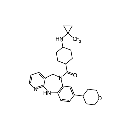 O=C(C1CCC(NC2(C(F)(F)F)CC2)CC1)N1Cc2cccnc2Nc2ccc(C3CCOCC3)cc21